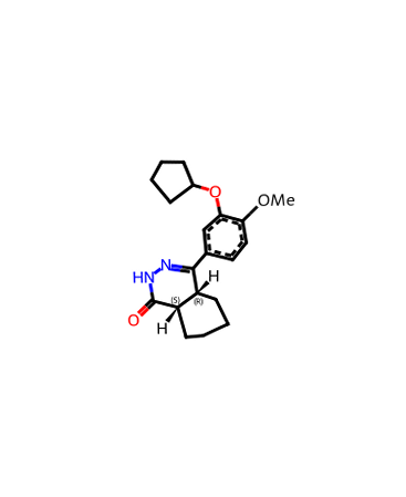 COc1ccc(C2=NNC(=O)[C@H]3CCCC[C@@H]23)cc1OC1CCCC1